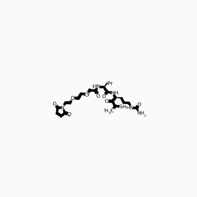 CC(S)C(=O)[C@H](CCCNC(N)=O)NC(=O)[C@@H](NC(=O)COCCOCCN1C(=O)C=CC1=O)C(C)C